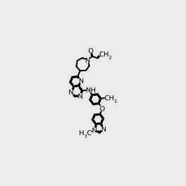 C=CC(=O)N1CCCC(c2ccc3ncnc(Nc4ccc(Oc5ccc6c(c5)ncn6C)c(C)c4)c3n2)CC1